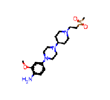 COc1cc(N2CCN(C3CCN(CCS(C)(=O)=O)CC3)CC2)ccc1N